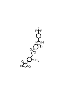 Cc1cc(N2C(=O)CNC2=O)ccc1CCS(=O)(=O)N1CCC2(CC1)N=C(C1CCC(C(F)(F)F)CC1)NC2=O